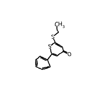 CCSc1cc(=O)cc(-c2ccccc2)s1